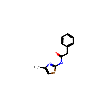 Cc1csc(NC(=O)Cc2ccccc2)n1